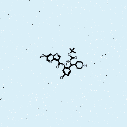 COc1cnc2c(C(=O)Nc3cc(Cl)ccc3C(NC(=O)OC(C)(C)C)C3CCNCC3)cnn2c1